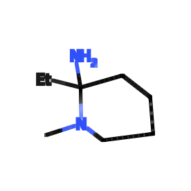 CCC1(N)CCCCN1C